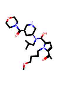 COCCCCn1c(C(C)=O)ccc1C(O)N(CC(C)C)[C@@H]1CNC[C@H](C(=O)N2CCOCC2)C1